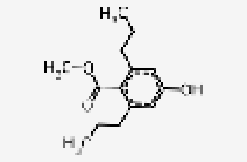 CCCc1cc(O)cc(CCC)c1C(=O)OC